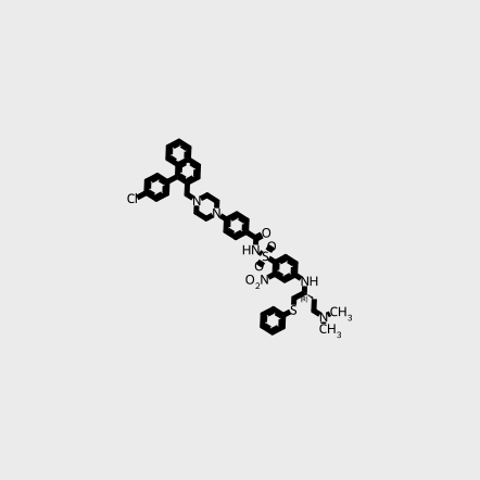 CN(C)CC[C@H](CSc1ccccc1)Nc1ccc(S(=O)(=O)NC(=O)c2ccc(N3CCN(Cc4ccc5ccccc5c4-c4ccc(Cl)cc4)CC3)cc2)c([N+](=O)[O-])c1